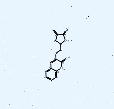 C=C1CC(COc2cc3ccccc3oc2=O)OC1=O